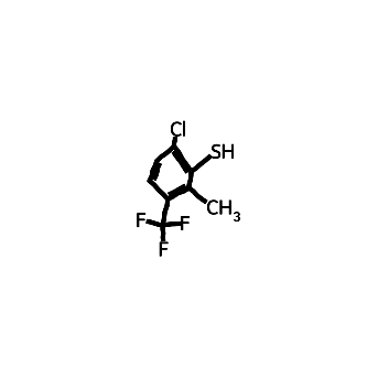 Cc1c(C(F)(F)F)ccc(Cl)c1S